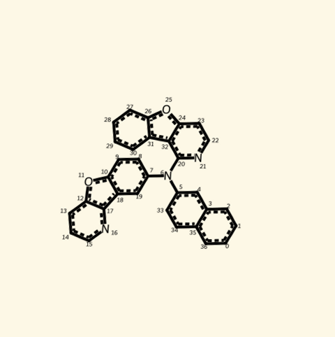 c1ccc2cc(N(c3ccc4oc5cccnc5c4c3)c3nccc4oc5ccccc5c34)ccc2c1